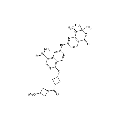 CC[C@@H](N)c1cnc(O[C@H]2C[C@@H](C(=O)N3CC(OC)C3)C2)c2cnc(Nc3ccc4c(n3)[C@@H](C)C(C)(C)OC4=O)cc12